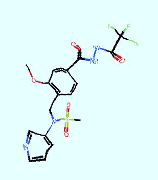 COc1cc(C(=O)NNC(=O)C(F)(F)F)ccc1CN(c1cccnc1)S(C)(=O)=O